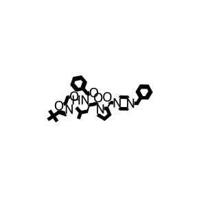 CC(C)C[C@@H](NC(=O)c1ccccc1OCc1ncc(C(C)(C)C)o1)C(=O)N1CCC[C@@H]1C(=O)N1CCN(Cc2ccccc2)CC1